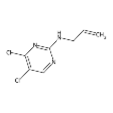 C=CCNc1ncc(Cl)c(Cl)n1